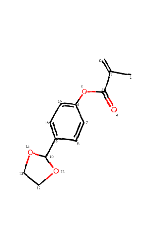 C=C(C)C(=O)Oc1ccc(C2OCCO2)cc1